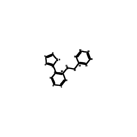 [c]1cccc(-c2cccs2)c1SCc1ccccc1